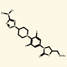 CCN(CC)c1nnn(C2CCN(c3c(F)cc(N4CC(CNC(C)=O)OC4=O)cc3F)CC2)n1